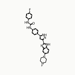 CN1CCN(c2ccc3[nH]c(-c4cc(-c5ccc(NC(=O)Nc6ccc(F)cc6)cc5)[nH]n4)nc3c2)CC1